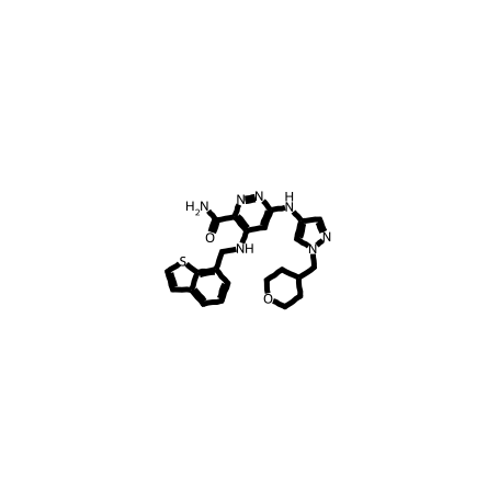 NC(=O)c1nnc(Nc2cnn(CC3CCOCC3)c2)cc1NCc1cccc2ccsc12